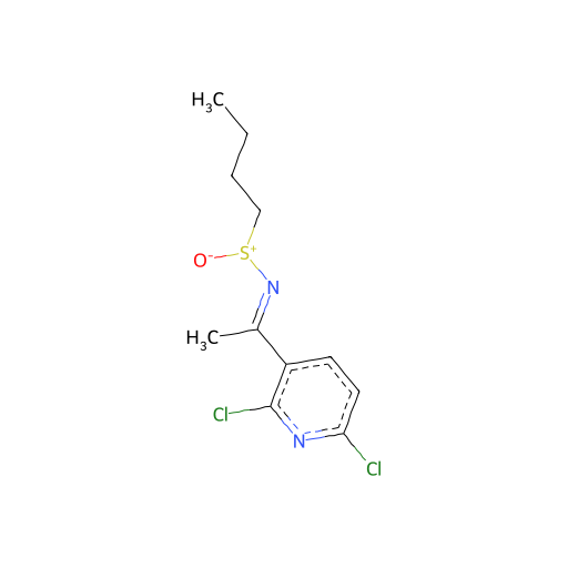 CCCC[S+]([O-])/N=C(\C)c1ccc(Cl)nc1Cl